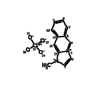 Cn1cc[n+]2cc3ccccc3cc12.[O-][Cl+3]([O-])([O-])[O-]